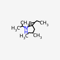 CCC(C)CC12B(C1CC)C2NC(C)C